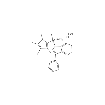 CC1=C(C)C(C)[C]([Zr]([CH3])(=[SiH2])[CH]2C=C(c3ccccc3)c3ccccc32)=C1C.Cl.Cl